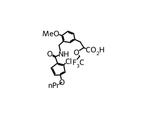 CCCOc1ccc(C(=O)NCc2cc(CC(OCC(F)(F)F)C(=O)O)ccc2OC)c(Cl)c1